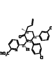 C=CC[C@@]1(C)C[C@H](c2cccc(Cl)c2)[C@@H](c2ccc(Cl)cc2)N([C@H](CC)c2cccc(C(=O)OCC)n2)C1=O